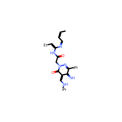 C\C=C/C=N\C(=C\CC)NC(=O)CN1N=C(C(C)C)C(=N)/C(=C\NC(C)C)C1=O